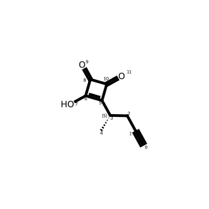 C#CC[C@H](C)c1c(O)c(=O)c1=O